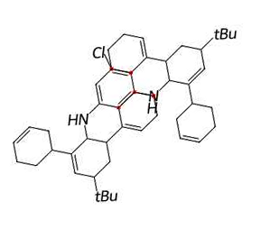 CC(C)(C)C1C=C(C2CC=CCC2)C(Nc2cc(Cl)cc(NC3C(C4CC=CCC4)=CC(C(C)(C)C)CC3C3=CCCCC3)c2)C(C2=CCCCC2)C1